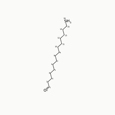 O=CCCCCCCCCCCCCCC[SiH3]